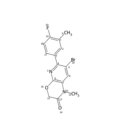 Cc1cc(-c2nc3c(cc2Br)N(C)C(=O)CO3)ccc1F